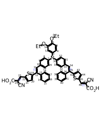 CCOc1ccc(N(c2ccc(/C=C(\c3ccccc3)c3ccc(/C=C(\C#N)C(=O)O)s3)cc2)c2ccc(/C=C(\c3ccccc3)c3ccc(/C=C(\C#N)C(=O)O)s3)cc2)cc1OCC